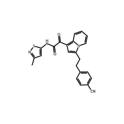 Cc1cc(NC(=O)C(=O)c2cc(CCc3ccc(C#N)cc3)n3ccccc23)sn1